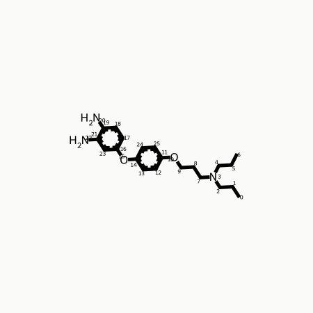 CCCN(CCC)CCCOc1ccc(Oc2ccc(N)c(N)c2)cc1